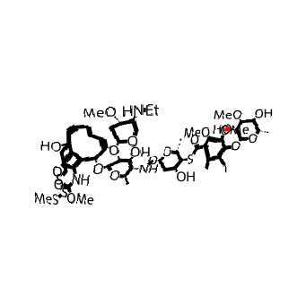 CCN[C@H]1CO[C@@H](O[C@H]2[C@H](O[C@H]3C#C/C=C/C#C[C@@]4(O)CC(=O)C(NC(=O)OC)=C3/C4=C\CSSSC)O[C@H](C)[C@@H](NO[C@H]3C[C@H](O)[C@H](SC(=O)c4c(C)c(I)c(O[C@@H]5O[C@@H](C)[C@H](O)[C@@H](OC)[C@H]5O)c(OC)c4OC)[C@@H](C)O3)[C@@H]2O)C[C@@H]1OC